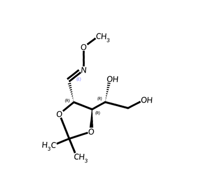 CO/N=C/[C@H]1OC(C)(C)O[C@@H]1[C@H](O)CO